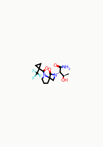 C[C@@H](O)[C@@H](C(N)=O)N1CC2(CCCN2C(=O)C2(C(F)(F)F)CC2)C1=O